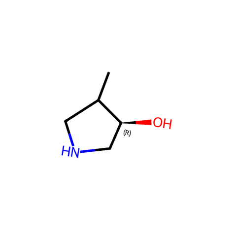 CC1CNC[C@@H]1O